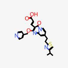 CC(C)c1csc(CCc2ccn3c(=O)c(C=CC(=O)O)c(OCc4ccncc4)nc3c2)n1